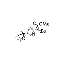 COC(=O)N(c1ncc(B2OC(C)(C)C(C)(C)O2)cn1)C(C)(C)C